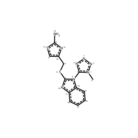 Cn1nnnc1-n1c(SCc2csc(N)n2)nc2ccccc21